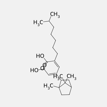 CC(C)CCCCCC(=CC(=CC(=O)O)C1CC2CCC1(C)C2(C)C)C(=O)O